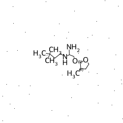 C[C@@H]1CCO[C@H]1OCC(N)NCCC(C)(C)C